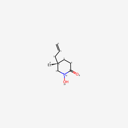 C=CC[C@]1(CC)CCC(=O)N(O)C1